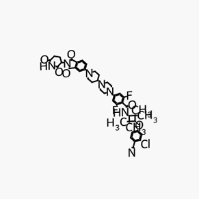 CC1(C)[C@H](NC(=O)c2c(F)cc(N3CCN(C4CCN(c5ccc6c(c5)C(=O)N(C5CCC(=O)NC5=O)C6=O)CC4)CC3)cc2F)C(C)(C)[C@H]1Oc1ccc(C#N)c(Cl)c1